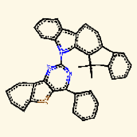 CC1(C)c2ccccc2-c2ccc3c4ccccc4n(-c4nc(-c5ccccc5)c5sc6ccccc6c5n4)c3c21